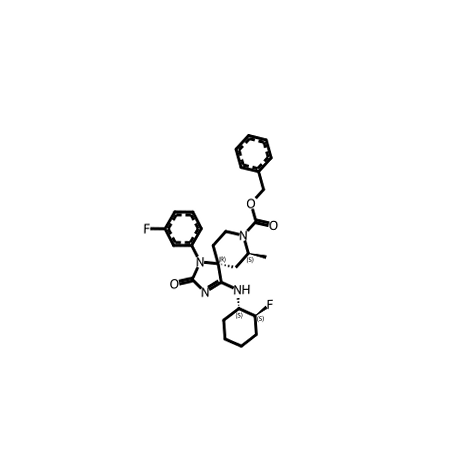 C[C@H]1C[C@]2(CCN1C(=O)OCc1ccccc1)C(N[C@H]1CCCC[C@@H]1F)=NC(=O)N2c1cccc(F)c1